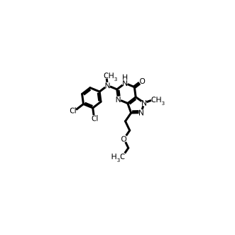 CCOCCc1nn(C)c2c(=O)[nH]c(N(C)c3ccc(Cl)c(Cl)c3)nc12